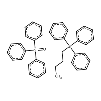 CCCC[B-](c1ccccc1)(c1ccccc1)c1ccccc1.O=[S+](c1ccccc1)(c1ccccc1)c1ccccc1